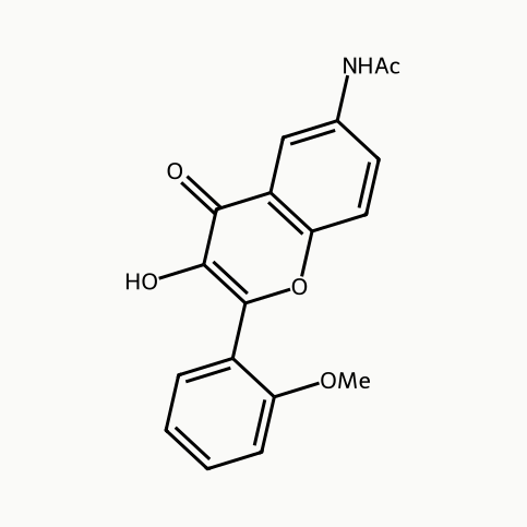 COc1ccccc1-c1oc2ccc(NC(C)=O)cc2c(=O)c1O